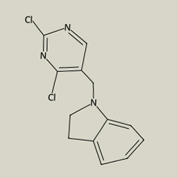 Clc1ncc(CN2CCc3ccccc32)c(Cl)n1